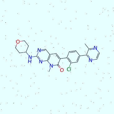 Cc1nccnc1-c1ccc(-c2cc3cnc(NC4CCOCC4)nc3n(C)c2=O)c(Cl)c1